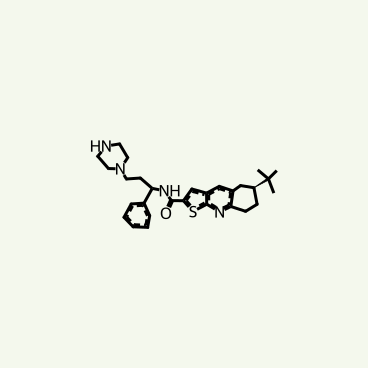 CC(C)(C)[C@H]1CCc2nc3sc(C(=O)NC(CCN4CCNCC4)c4ccccc4)cc3cc2C1